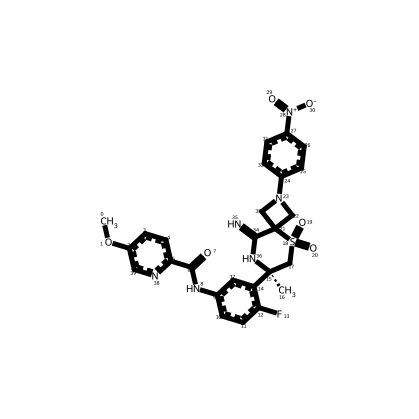 COc1ccc(C(=O)Nc2ccc(F)c([C@]3(C)CS(=O)(=O)C4(CN(c5ccc([N+](=O)[O-])cc5)C4)C(=N)N3)c2)nc1